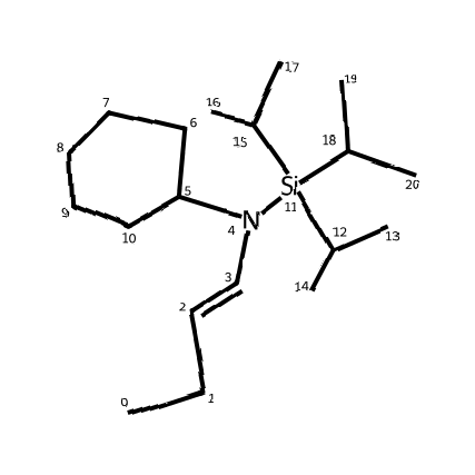 CCC=CN(C1CCCCC1)[Si](C(C)C)(C(C)C)C(C)C